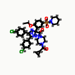 CCOc1ccc(S(=O)(=O)N2CCCCC2)cc1C1(C(=O)N2CCN(C(=O)C3CC3)CC2)NC(c2ccc(Cl)cc2)C(c2ccc(Cl)cc2)N1